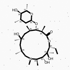 CC[C@H]1OC(=O)[C@H](C)[C@@H](O[C@H]2C[C@H](C)[C@@H](O)[C@H](C)O2)[C@H](C)C[C@](C)(O)C[C@@H](C)CN(C)[C@H](C)[C@@H](O)[C@]1(C)O